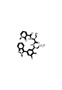 CC(C)C[C@H](NC(=O)c1cccn(C)c1=O)C(=O)N[C@@H](CC(=O)O)c1cc(-c2c3ccccc3nn2C)cc(F)c1F